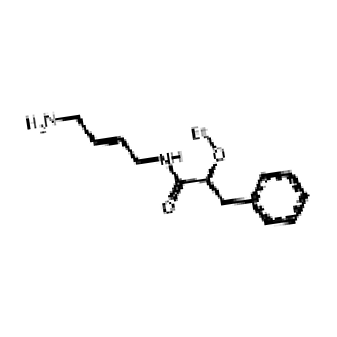 CCOC(Cc1ccccc1)C(=O)NC/C=C/CN